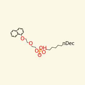 CCCCCCCCCCCCCCCCOP(=O)(O)OCCOCCOc1cccc2ccccc12